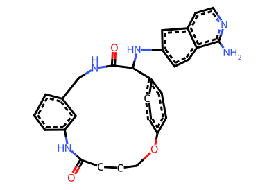 Nc1nccc2cc(NC3C(=O)NCc4cccc(c4)NC(=O)CCCOc4ccc3cc4)ccc12